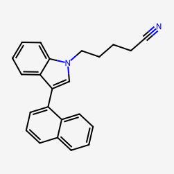 N#CCCCCn1cc(-c2cccc3ccccc23)c2ccccc21